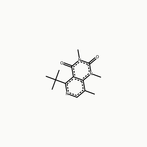 Cc1cnc(C(C)(C)C)c2c(=O)n(C)c(=O)n(C)c12